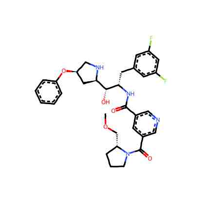 COC[C@H]1CCCN1C(=O)c1cncc(C(=O)N[C@@H](Cc2cc(F)cc(F)c2)[C@H](O)[C@H]2C[C@@H](Oc3ccccc3)CN2)c1